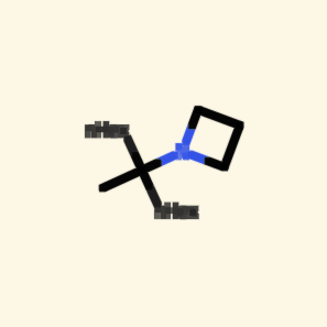 CCCCCCC(C)(CCCCCC)N1CCC1